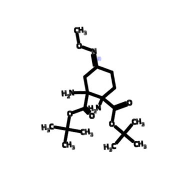 CO/N=C1/CCC(N)(C(=O)OC(C)(C)C)C(N)(C(=O)OC(C)(C)C)C1